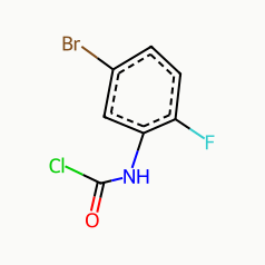 O=C(Cl)Nc1cc(Br)ccc1F